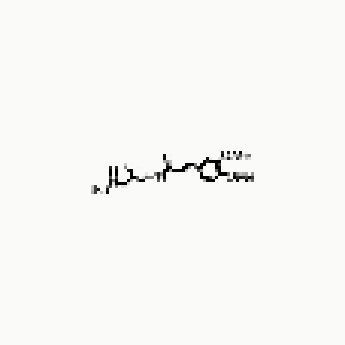 COc1ccc(/C=C/C(Cl)=N/OCC(O)CNC(C)(C)C)cc1OC